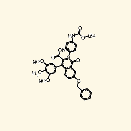 COC(=O)c1c(-c2cc(OC)c(C)c(OC)c2)c2ccc(OCc3ccccc3)cc2c(=O)n1-c1ccc(NC(=O)OC(C)(C)C)cc1